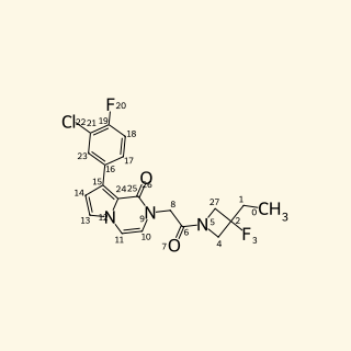 CCC1(F)CN(C(=O)Cn2ccn3ccc(-c4ccc(F)c(Cl)c4)c3c2=O)C1